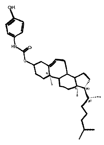 CC(C)CCC[C@@H](C)[C@H]1CCC2C3CC=C4CC(OC(=O)Nc5ccc(O)cc5)CC[C@]4(C)C3CC[C@@]21C